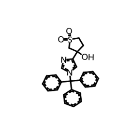 O=S1(=O)CCC(O)(c2cn(C(c3ccccc3)(c3ccccc3)c3ccccc3)cn2)C1